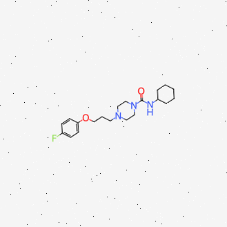 O=C(NC1CCCCC1)N1CCN(CCCOc2ccc(F)cc2)CC1